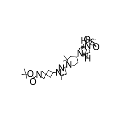 Cc1cc(N2CCC(N3C[C@H]4C[C@@H]3CN4S(C)(=O)=O)CC2(C)C)nn1C1CC2(C1)CN(C(=O)OC(C)(C)C)C2